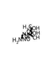 C#CC1(F)C(O)[C@@H]([C@@H](C)O)O[C@H]1n1ncc(N)nc1=O